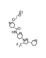 CCOCCOc1cc(C(=O)Nc2ccc(-n3nc(-c4cccnc4)cc3C(F)(F)F)cn2)ccn1